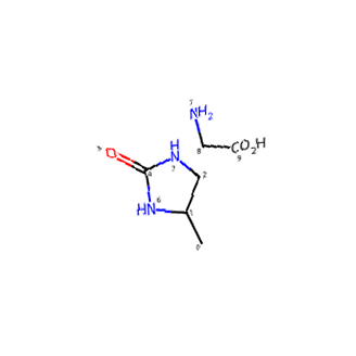 CC1CNC(=O)N1.NCC(=O)O